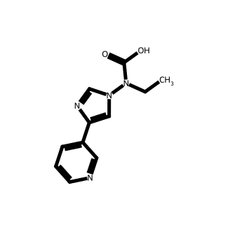 CCN(C(=O)O)n1cnc(-c2cccnc2)c1